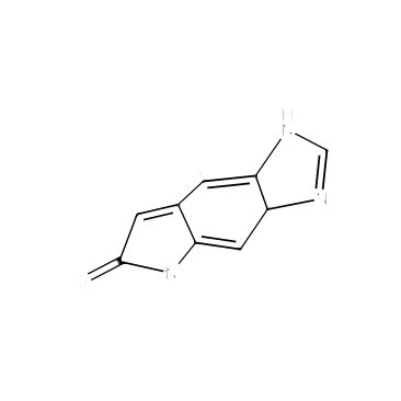 O=C1C=C2C=C3NC=NC3C=C2N1